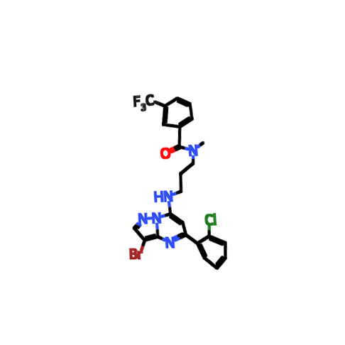 CN(CCCNc1cc(-c2ccccc2Cl)nc2c(Br)cnn12)C(=O)c1cccc(C(F)(F)F)c1